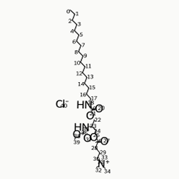 CCCCCCCCCCCCCCCCCCNC(=O)OCC(COC(=O)CCC[N+](C)(C)C)NC(=O)OC.[Cl-]